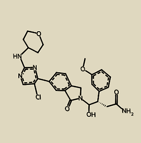 COc1cccc([C@H](CC(N)=O)C(O)N2Cc3ccc(-c4nc(NC5CCOCC5)ncc4Cl)cc3C2=O)c1